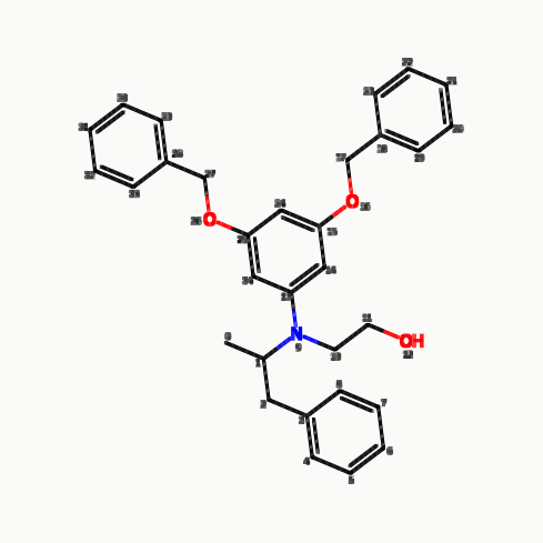 CC(Cc1ccccc1)N(CCO)c1cc(OCc2ccccc2)cc(OCc2ccccc2)c1